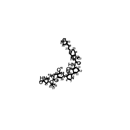 COc1nc(-c2ccnc(-c3cccc(NC(=O)c4nc5c(n4C)CCN(CCc4cnoc4)C5)c3Cl)c2Cl)ccc1CN(C[C@@H]1CCC(=O)N1)C(=O)OC(C)(C)C